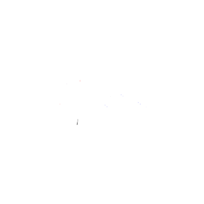 C[C@]1(CO)O[C@@H](n2ccc(N)nc2=O)CC1O[PH](=O)O